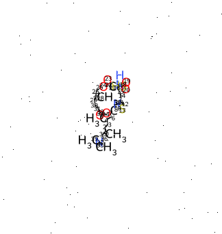 CC(/C=C/C(C)=C/C1Cc2nc(cs2)CCC(N[SH](=O)=O)CC(=O)OCC/C(C)=C/C=C\C(=O)O1)=C\CN(C)C